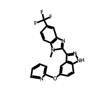 Cn1c(-c2n[nH]c3ccc(Oc4ccccn4)cc23)nc2cc(C(F)(F)F)ccc21